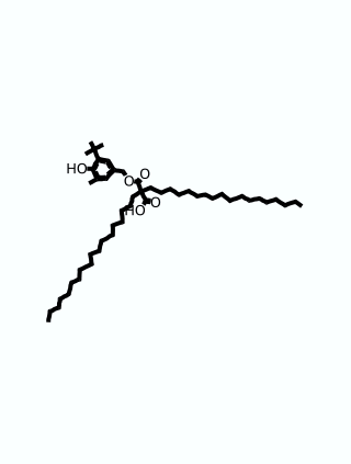 CCCCCCCCCCCCCCCCCCC(CCCCCCCCCCCCCCCCCC)(C(=O)O)C(=O)OCc1cc(C)c(O)c(C(C)(C)C)c1